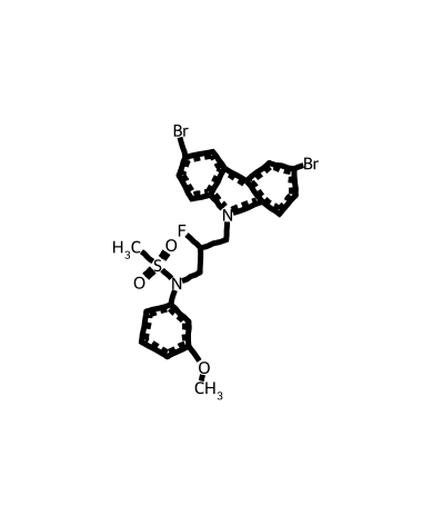 COc1cccc(N(CC(F)Cn2c3ccc(Br)cc3c3cc(Br)ccc32)S(C)(=O)=O)c1